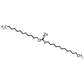 CCCCCCCCCCCCOC(=S)SCCCCCCCCCCCC.[Zn]